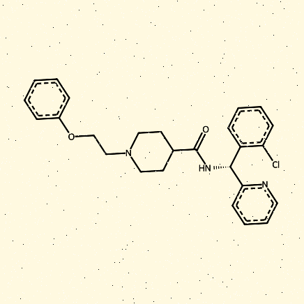 O=C(N[C@@H](c1ccccn1)c1ccccc1Cl)C1CCN(CCOc2ccccc2)CC1